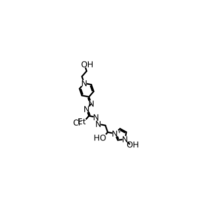 CCC(N=NCC(O)[n+]1ccn(O)c1)=NN=c1ccn(CCO)cc1.[Cl-]